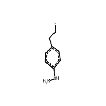 NNc1ccc(C[CH]F)cc1